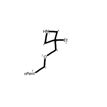 CCCCCCOCC1(CC)CNC1